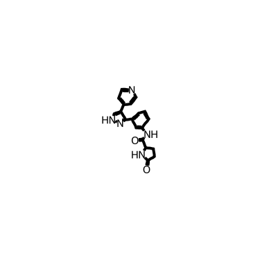 O=C1CCC(C(=O)Nc2cccc(-c3n[nH]cc3-c3ccncc3)c2)N1